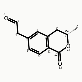 C[C@H]1Cc2cc(CC=O)ccc2C(=O)O1